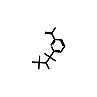 C=C(C)c1cccc(C(C)(C)C(C)C(C)(C)C)n1